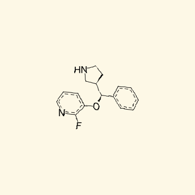 Fc1ncccc1O[C@H](c1ccccc1)[C@@H]1CCNC1